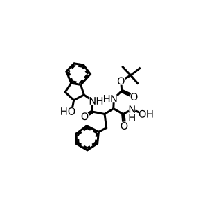 CC(C)(C)OC(=O)NC(C(=O)NO)C(Cc1ccccc1)C(=O)NC1c2ccccc2CC1O